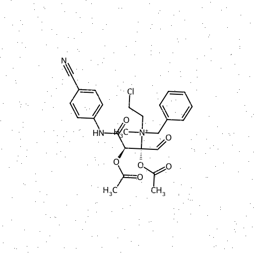 CC(=O)O[C@@H](C(=O)Nc1ccc(C#N)cc1)[C@@](C=O)(OC(C)=O)[N+](C)(CCCl)Cc1ccccc1